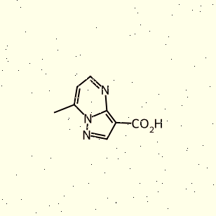 Cc1ccnc2c(C(=O)O)cnn12